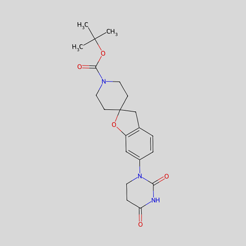 CC(C)(C)OC(=O)N1CCC2(CC1)Cc1ccc(N3CCC(=O)NC3=O)cc1O2